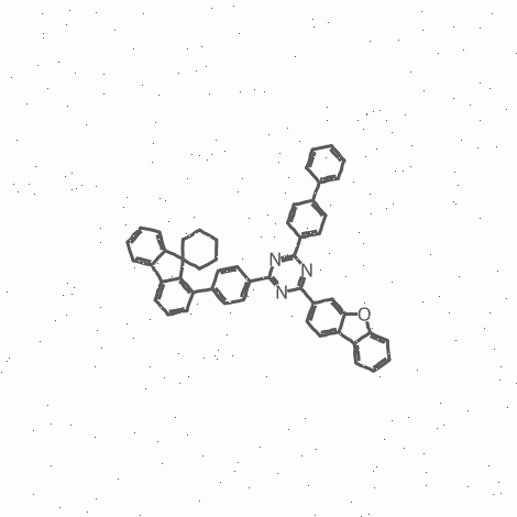 c1ccc(-c2ccc(-c3nc(-c4ccc(-c5cccc6c5C5(CCCCC5)c5ccccc5-6)cc4)nc(-c4ccc5c(c4)oc4ccccc45)n3)cc2)cc1